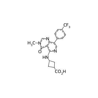 Cn1cnc2c(-c3ccc(C(F)(F)F)cc3)cnc(NC3CC(C(=O)O)C3)c2c1=O